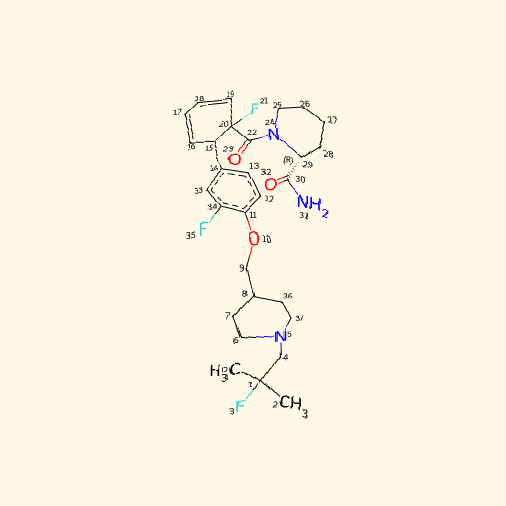 CC(C)(F)CN1CCC(COc2ccc(C3C=CC=CC3(F)C(=O)N3CCCC[C@@H]3C(N)=O)cc2F)CC1